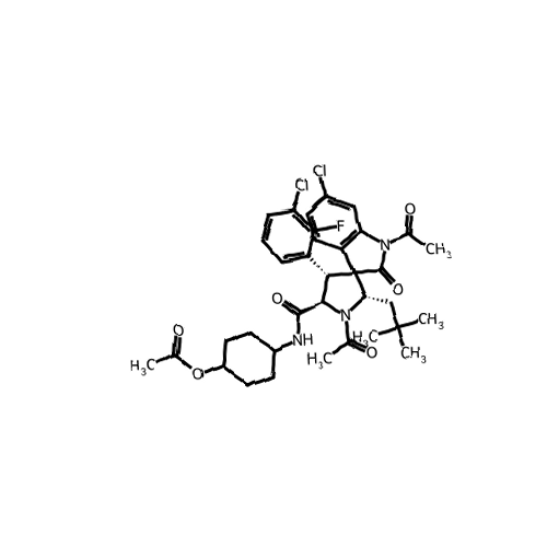 CC(=O)OC1CCC(NC(=O)[C@H]2[C@H](c3cccc(Cl)c3F)C3(C(=O)N(C(C)=O)c4cc(Cl)ccc43)[C@H](CC(C)(C)C)N2C(C)=O)CC1